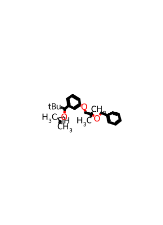 C[SiH](C)OC(c1cccc(OCC(C)(C)OCc2ccccc2)c1)C(C)(C)C